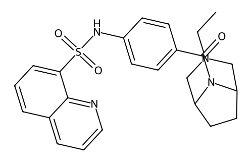 CCN1CC2CCC(C1)N2C(=O)c1ccc(NS(=O)(=O)c2cccc3cccnc23)cc1